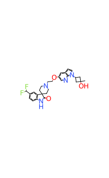 CC1(O)CC(n2ccc3cc(OCCN4CCC5(CC4)C(=O)Nc4ccc(C(F)F)cc45)cnc32)C1